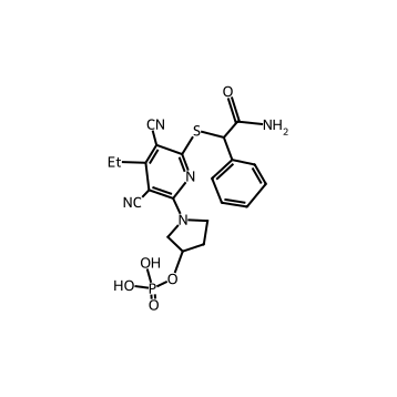 CCc1c(C#N)c(SC(C(N)=O)c2ccccc2)nc(N2CCC(OP(=O)(O)O)C2)c1C#N